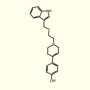 Oc1ccc(C2=CCN(CCSCc3c[nH]c4ccccc34)CC2)cc1